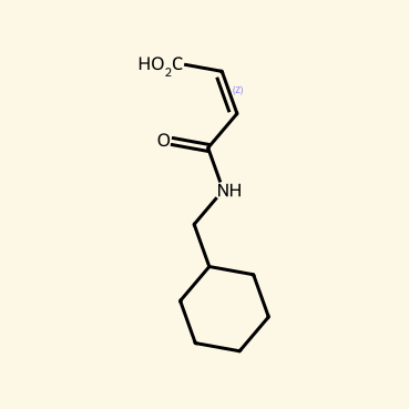 O=C(O)/C=C\C(=O)NCC1CCCCC1